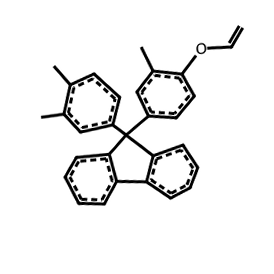 C=COc1ccc(C2(c3ccc(C)c(C)c3)c3ccccc3-c3ccccc32)cc1C